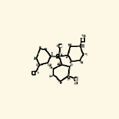 ClC1CCCC([Si](Cl)(C2CCCC(Cl)C2)C2CCCC(Cl)C2)C1